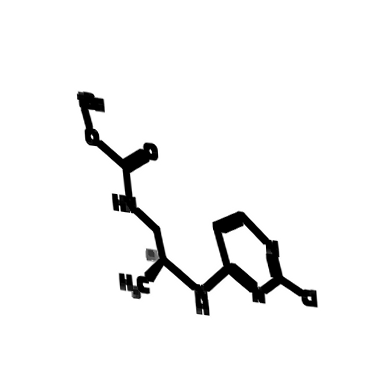 C[C@@H](CNC(=O)OC(C)(C)C)Nc1ccnc(Cl)n1